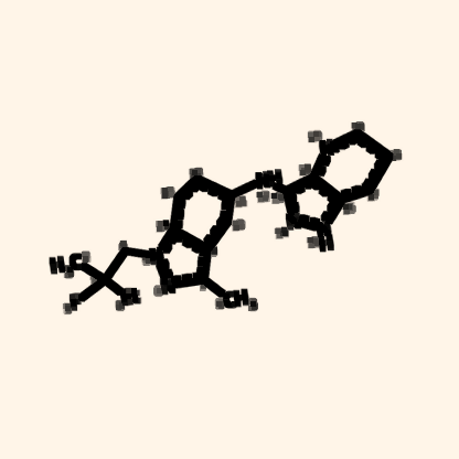 CCC(C)(F)Cn1nc(C)c2cc(Nc3n[nH]c4cccnc34)ccc21